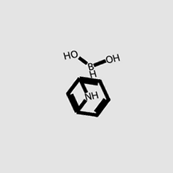 OBO.c1cc2cc(c1)N2